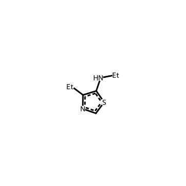 [CH2]Cc1ncsc1NCC